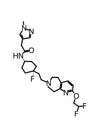 Cn1cc(CC(=O)N[C@H]2CC[C@](F)(CCN3CCc4ccc(OCC(F)F)nc4CC3)CC2)cn1